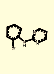 Brc1ccccc1Nc1ncccn1